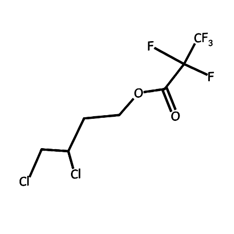 O=C(OCCC(Cl)CCl)C(F)(F)C(F)(F)F